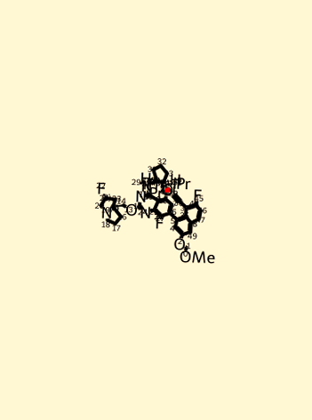 COCOc1cc(-c2cc3c4c(nc(OC[C@@]56CCCN5C[C@H](F)C6)nc4c2F)N(C)[C@H]2CCC[C@H]2O3)c2c(C#C[Si](C(C)C)(C(C)C)C(C)C)c(F)ccc2c1